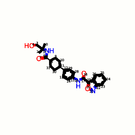 CC(C)(CO)NC(=O)[C@H]1CC[C@@H](c2ccc(NC(=O)c3onc4ccccc34)cc2)CC1